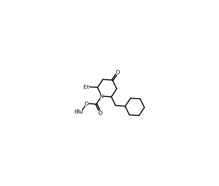 CCC1CC(=O)CC(CC2CCCCC2)N1C(=O)OC(C)(C)C